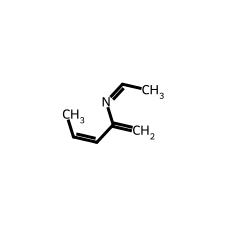 C=C(/C=C\C)/N=C\C